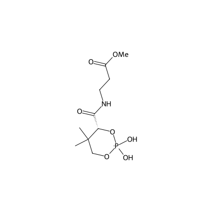 COC(=O)CCNC(=O)[C@@H]1O[P](O)(O)OCC1(C)C